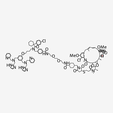 COc1cc2cc(c1Cl)N(C)C(=O)C[C@H](OC(=O)[C@@H](C)N(C)C(=O)CCSC1CC(=O)N(CC3CCC(C(=O)NCCOCCOCCNC(=O)c4ccc(CN(CCCCOc5cc(CN(Cc6ccccn6)Cc6ncc[nH]6)cc(CN(Cc6ccccn6)Cc6ncc[nH]6)c5)C(=O)C5(c6ccc(Cl)cc6)CCCCC5)cc4)CC3)C1=O)[C@]1(C)CC1[C@H](C)[C@@H]1C[C@@](O)(NC(=O)O1)[C@H](OC)/C=C/C=C(\C)C2